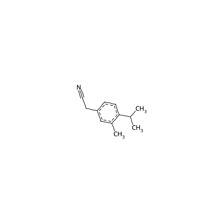 Cc1cc(CC#N)ccc1C(C)C